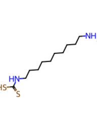 NCCCCCCCCCCNC(=S)S